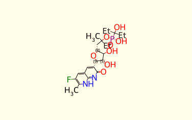 CCC(C)(C[C@H]1O[C@@H](c2cc3cc(F)c(C)[nH]c-3nc2=O)[C@@H](O)C1O)OP(=O)(O)C(O)(CC)CC